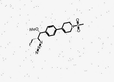 CO[C@H](c1ccc(C2=CCN(S(C)(=O)=O)CC2)cc1)[C@@H](CF)N=[N+]=[N-]